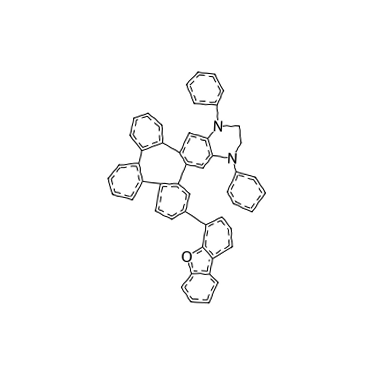 c1ccc(N2CCN(c3ccccc3)c3cc4c(cc32)-c2ccccc2-c2ccccc2-c2ccc(-c3cccc5c3oc3ccccc35)cc2-4)cc1